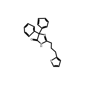 O=C1NC(CCCc2cccs2)=NC1(c1ccccc1)c1ccccc1